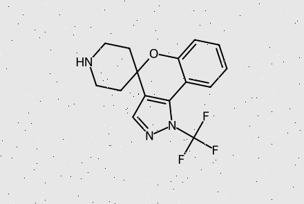 FC(F)(F)n1ncc2c1-c1ccccc1OC21CCNCC1